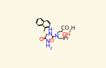 CC(C)CN(CC(O)C(=O)O)C(=O)N[C@@H](Cc1cccc2ccccc12)C(N)=O